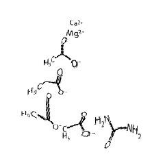 CC(=O)[O-].CC(=O)[O-].CC(=O)[O-].CC(=O)[O-].NC(N)=O.[Ca+2].[Mg+2]